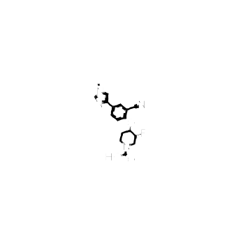 Cn1cnc(-c2ccc(O[C@@H]3CCN(C(=O)O)C[C@@H]3F)c(C#N)c2)c1